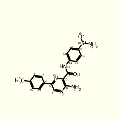 Cc1ccc(-c2cnc(N)c(C(=O)Nc3ccc([S+](N)[O-])cc3)n2)cc1